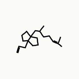 C=CCC12CCCC1(CC(C)CCC=C(C)C)CCC2